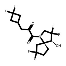 O=C(CC1CC(F)(F)C1)C(=O)N1CC(F)(F)[C@H](O)[C@@]12CCC(F)(F)C2